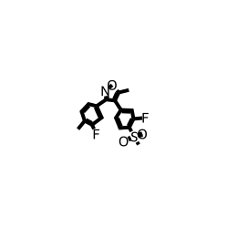 Cc1ccc(-c2noc(C)c2-c2ccc(S(C)(=O)=O)c(F)c2)cc1F